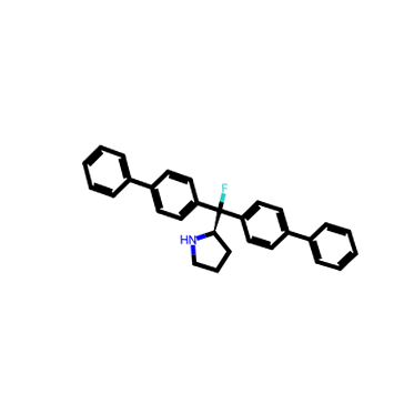 FC(c1ccc(-c2ccccc2)cc1)(c1ccc(-c2ccccc2)cc1)[C@H]1CCCN1